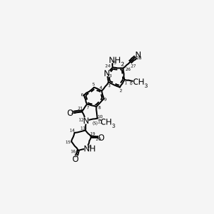 Cc1cc(-c2ccc3c(c2)[C@H](C)N(C2CCC(=O)NC2=O)C3=O)nc(N)c1C#N